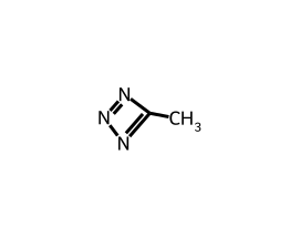 CC1=NN=N1